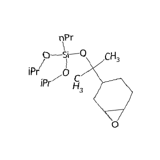 CCC[Si](OC(C)C)(OC(C)C)OC(C)(C)C1CCC2OC2C1